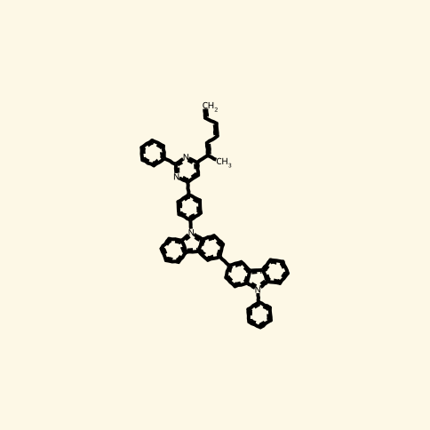 C=C/C=C\C=C(/C)c1cc(-c2ccc(-n3c4ccccc4c4cc(-c5ccc6c(c5)c5ccccc5n6-c5ccccc5)ccc43)cc2)nc(-c2ccccc2)n1